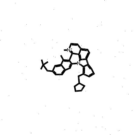 Cc1c2cc(CC(C)(C)C)ccc2cc2c1c1c3c(ccc4c5cccc(CC6CCCC6)c5n2c43)cc[n+]1C